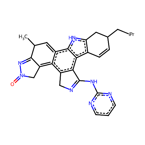 CC(C)CC1C=Cc2c([nH]c3c4c(c5c(c23)C(Nc2ncccn2)=NC5)=C2C[N+](=O)N=C2C(C)C=4)C1